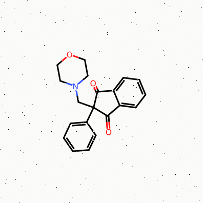 O=C1c2ccccc2C(=O)C1(CN1CCOCC1)c1ccccc1